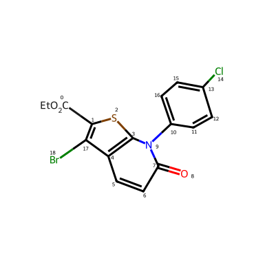 CCOC(=O)c1sc2c(ccc(=O)n2-c2ccc(Cl)cc2)c1Br